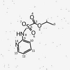 CCOC(=O)S(=O)(=O)Nc1ccccn1